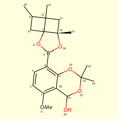 COc1ccc(B2OC34CC(C)C3(C)C[C@]4(C)O2)c2c1C(O)OC(C)(C)O2